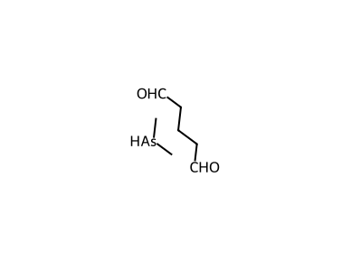 C[AsH]C.O=CCCCC=O